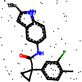 Cc1ccc(C2(C(=O)Nc3ccc4[nH]c(C(C)(C)C)cc4c3)CC2)cc1F